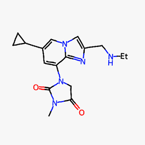 CCNCc1cn2cc(C3CC3)cc(N3CC(=O)N(C)C3=O)c2n1